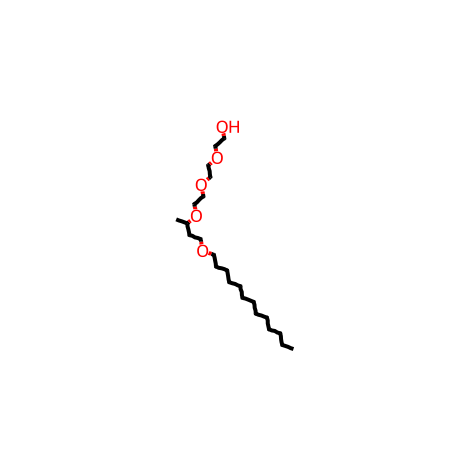 CCCCCCCCCCCCCOCCC(C)OCCOCCOCCO